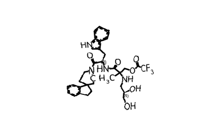 CC(COC(=O)C(F)(F)F)(NC[C@@H](O)CO)C(=O)N[C@H](Cc1c[nH]c2ccccc12)C(=O)N1CCC2(CCc3ccccc32)CC1